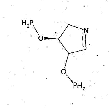 POC1C=NC[C@@H]1OP